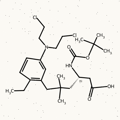 CCc1ccc(N(CCCl)CCCl)cc1CC(C)(C)C[C@@H](CC(=O)O)NC(=O)OC(C)(C)C